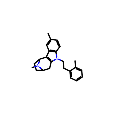 Cc1ccc2c(c1)c1c(n2CCc2ccccc2C)CC2CCC1N2C